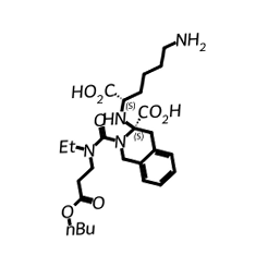 CCCCOC(=O)CCN(CC)C(=O)N1Cc2ccccc2C[C@@]1(N[C@@H](CCCCN)C(=O)O)C(=O)O